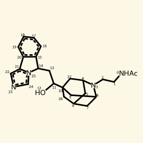 CC(=O)NCCN1C2CC3CC1CC(C(O)CC1c4ccccc4-c4cncn41)(C3)C2